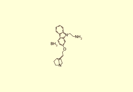 B.NCCn1c2ccccc2c2ccc(OCC=C3CN4CCC3CC4)cc21